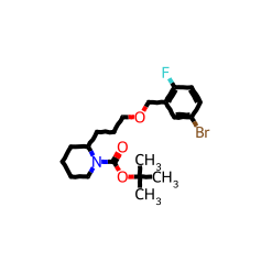 CC(C)(C)OC(=O)N1CCCCC1CCCOCc1cc(Br)ccc1F